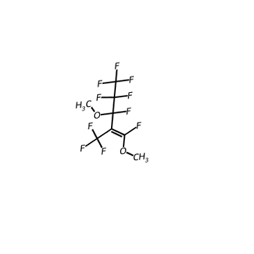 COC(F)=C(C(F)(F)F)C(F)(OC)C(F)(F)C(F)(F)F